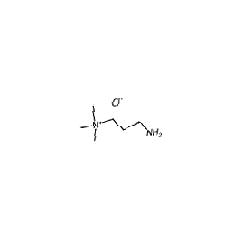 C[N+](C)(C)CCCN.[Cl-]